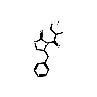 CC(CC(=O)O)C(=O)N1C(=O)OCC1Cc1ccccc1